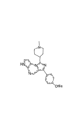 COc1ccc(-c2nc(C3CCN(C)CC3)n3c2cnc2[nH]ccc23)cc1